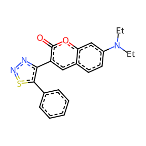 CCN(CC)c1ccc2cc(-c3nnsc3-c3ccccc3)c(=O)oc2c1